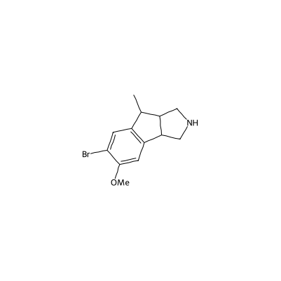 COc1cc2c(cc1Br)C(C)C1CNCC21